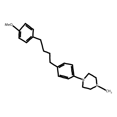 COc1ccc(CC[CH]Cc2ccc(N3CCN(C)CC3)cc2)cc1